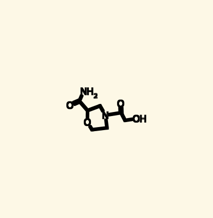 NC(=O)C1CN(C(=O)CO)CCO1